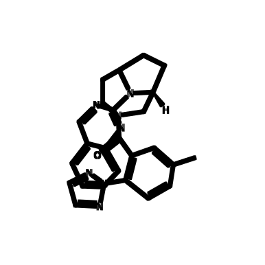 Cc1ccc(-n2nccn2)c(C(=O)N2CCC3CC[C@H](C2)N3c2ncc3ccccc3n2)c1